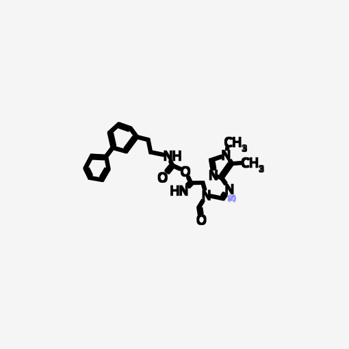 Cc1c(/N=C\N(C=O)CC(=N)OC(=O)NCCc2cccc(-c3ccccc3)c2)ncn1C